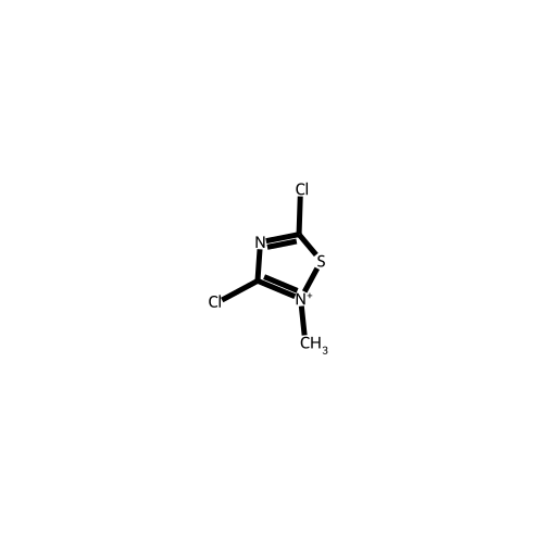 C[n+]1sc(Cl)nc1Cl